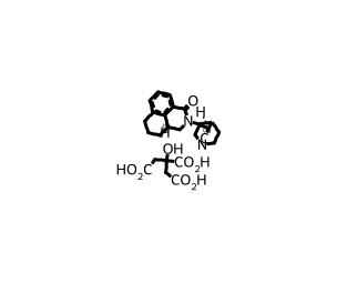 O=C(O)CC(O)(CC(=O)O)C(=O)O.O=C1c2cccc3c2[C@H](CCC3)CN1[C@@H]1CN2CCC1CC2